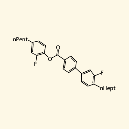 CCCCCCCc1ccc(-c2ccc(C(=O)Oc3ccc(CCCCC)cc3F)cc2)cc1F